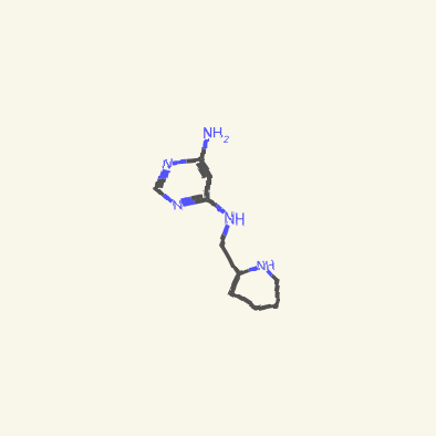 Nc1cc(NCC2CCCCN2)ncn1